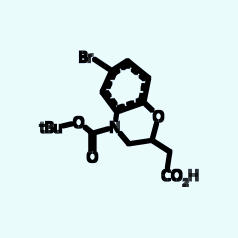 CC(C)(C)OC(=O)N1CC(CC(=O)O)Oc2ccc(Br)cc21